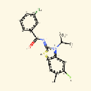 CCC(C(=O)O)n1c(=NC(=O)c2cccc(Cl)c2)sc2cc(C)c(F)cc21